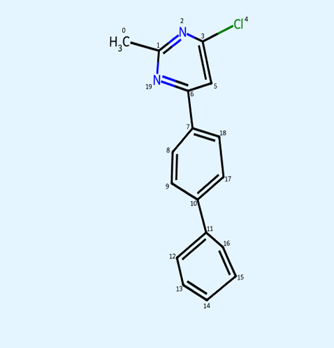 Cc1nc(Cl)cc(-c2ccc(-c3ccccc3)cc2)n1